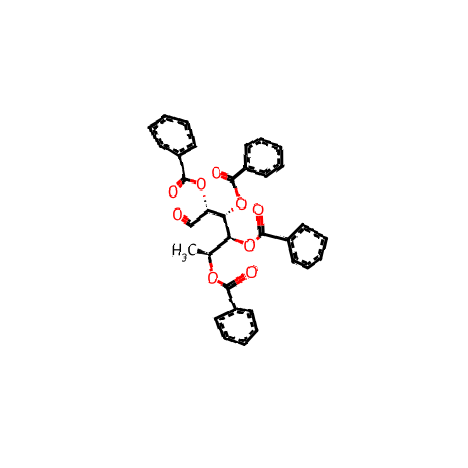 C[C@H](OC(=O)c1ccccc1)[C@H](OC(=O)c1ccccc1)[C@@H](OC(=O)c1ccccc1)[C@H](C=O)OC(=O)c1ccccc1